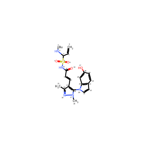 C=CC(NCCCC)S(=O)(=O)NC(=O)/C=C/c1c(C)nn(C)c1-n1ccc2ccc(O)cc21